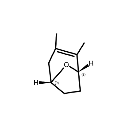 CC1=C(C)[C@@H]2CC[C@H](C1)O2